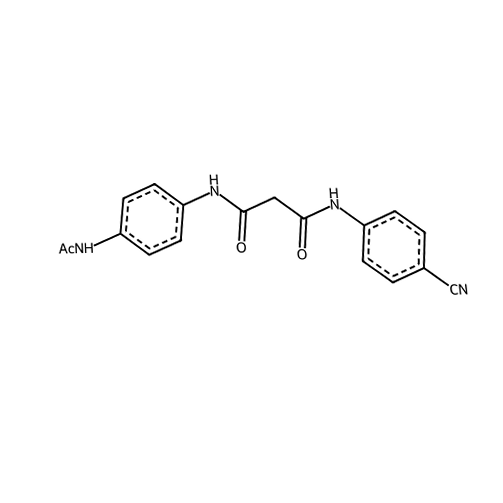 CC(=O)Nc1ccc(NC(=O)CC(=O)Nc2ccc(C#N)cc2)cc1